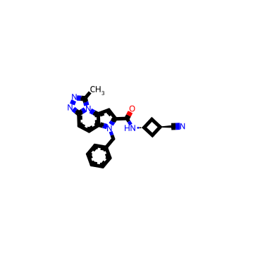 Cc1nnc2ccc3c(cc(C(=O)N[C@H]4C[C@H](C#N)C4)n3Cc3ccccc3)n12